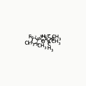 Cc1cc(Cl)c(F)cc1[C@H]1CC[C@@H]([C@H](C)C(C)(C)C)O1